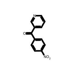 O=C(c1ccc([N+](=O)[O-])cc1)c1cccnc1